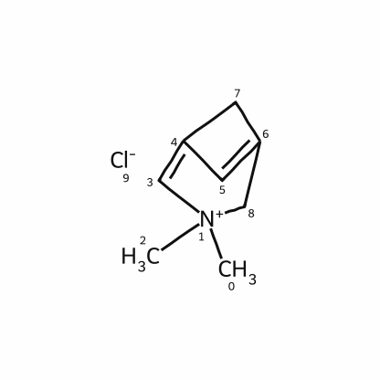 C[N+]1(C)C=C2C=C(C2)C1.[Cl-]